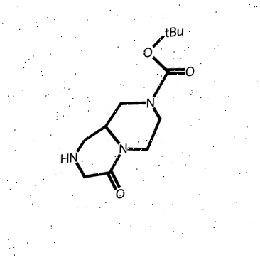 CC(C)(C)OC(=O)N1CCN2C(=O)CNCC2C1